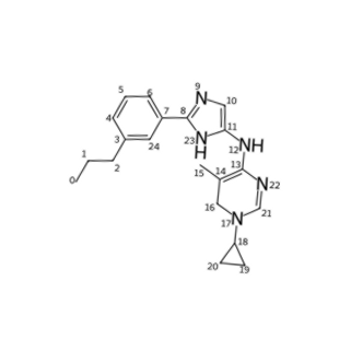 CCCc1cccc(-c2ncc(NC3=C(C)CN(C4CC4)C=N3)[nH]2)c1